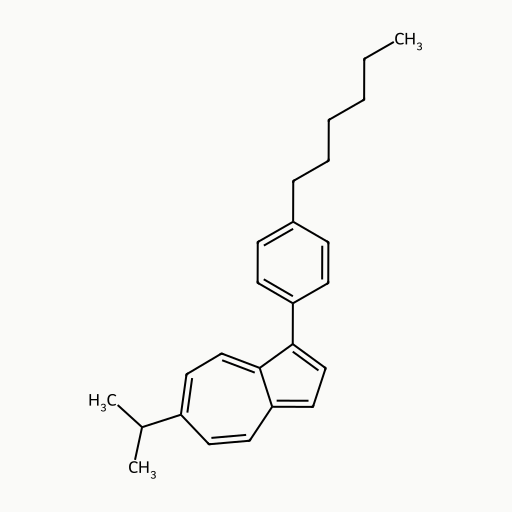 CCCCCCc1ccc(-c2ccc3ccc(C(C)C)ccc2-3)cc1